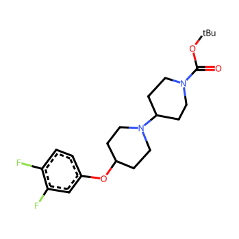 CC(C)(C)OC(=O)N1CCC(N2CCC(Oc3ccc(F)c(F)c3)CC2)CC1